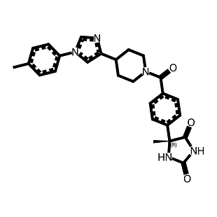 Cc1ccc(-n2cnc(C3CCN(C(=O)c4ccc([C@@]5(C)NC(=O)NC5=O)cc4)CC3)c2)cc1